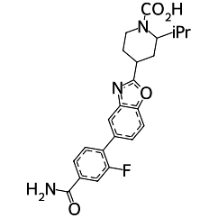 CC(C)C1CC(c2nc3cc(-c4ccc(C(N)=O)cc4F)ccc3o2)CCN1C(=O)O